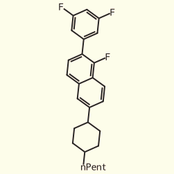 CCCCCC1CCC(c2ccc3c(F)c(-c4cc(F)cc(F)c4)ccc3c2)CC1